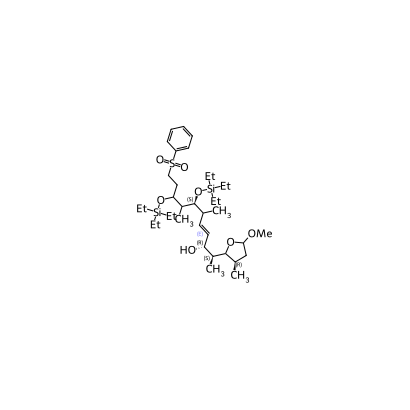 CC[Si](CC)(CC)OC(CCS(=O)(=O)c1ccccc1)C(C)[C@@H](O[Si](CC)(CC)CC)C(C)/C=C/[C@@H](O)[C@H](C)C1OC(OC)C[C@H]1C